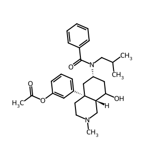 CC(=O)Oc1cccc([C@@]23CCN(C)C[C@H]2C(O)C[C@@H](N(CC(C)C)C(=O)c2ccccc2)C3)c1